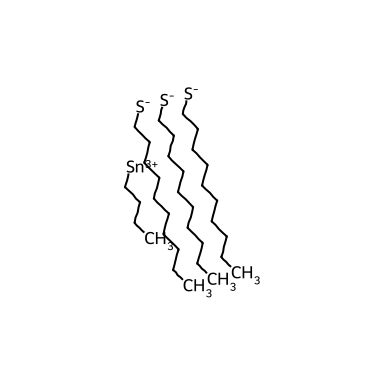 CCCCCCCCCC[S-].CCCCCCCCCC[S-].CCCCCCCCCC[S-].CCC[CH2][Sn+3]